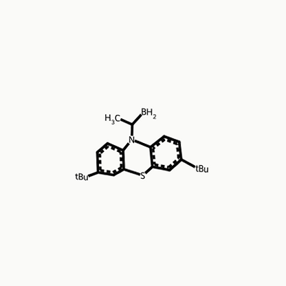 BC(C)N1c2ccc(C(C)(C)C)cc2Sc2cc(C(C)(C)C)ccc21